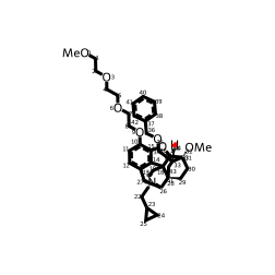 COCCOCCOCCOc1ccc2c3c1O[C@@H]1C34CCN(CC3CC3)C(C2)[C@]42CC[C@@]1(OC)[C@@H](COCc1ccccc1)C2